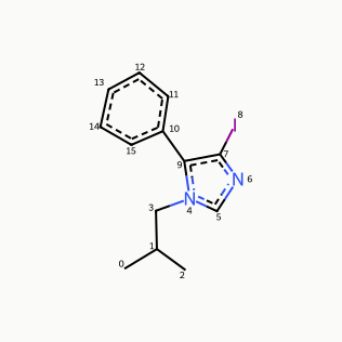 CC(C)Cn1cnc(I)c1-c1ccccc1